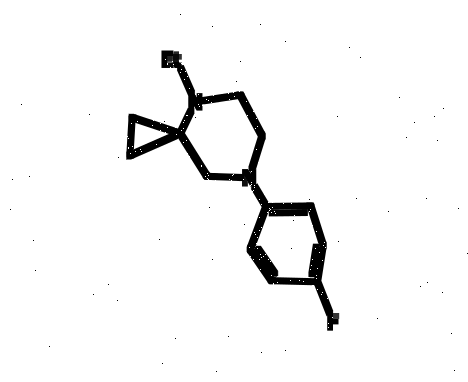 CCN1CCN(c2ccc(F)cc2)CC12CC2